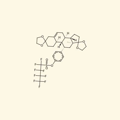 C[C@]12C[C@H](c3ccc(OS(=O)(=O)C(F)(F)C(F)(F)C(F)(F)C(F)(F)F)cc3)[C@H]3[C@@H](CC=C4CC5(CC[C@@H]43)OCCO5)[C@@H]1CCC21OCCO1